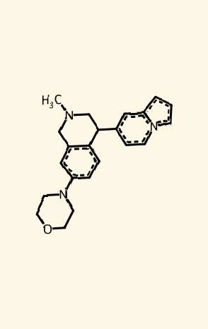 CN1Cc2cc(N3CCOCC3)ccc2C(c2ccn3cccc3c2)C1